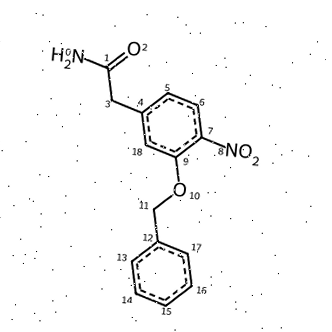 NC(=O)Cc1ccc([N+](=O)[O-])c(OCc2ccccc2)c1